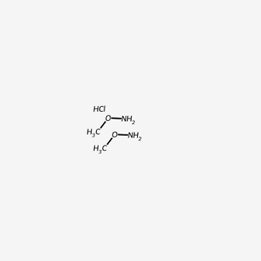 CON.CON.Cl